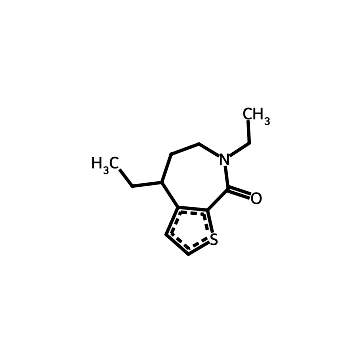 CCC1CCN(CC)C(=O)c2sccc21